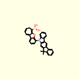 CC1(C)c2ccccc2-c2cc3c4ccccc4n(-c4cccc5c6c(oc45)=C(B(O)O)CC=CC=6)c3cc21